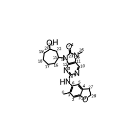 Cc1cc2c(cc1Nc1ncc3c(n1)n(C1CCCCC(O)C1)c(=O)n3C)CCO2